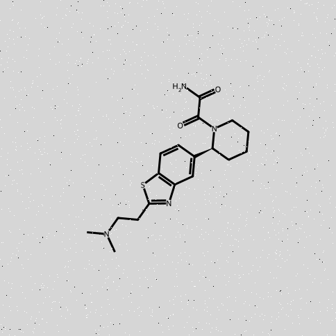 CN(C)CCc1nc2cc([C@@H]3CCCCN3C(=O)C(N)=O)ccc2s1